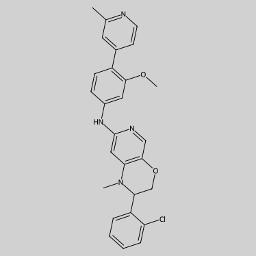 COc1cc(Nc2cc3c(cn2)OCC(c2ccccc2Cl)N3C)ccc1-c1ccnc(C)c1